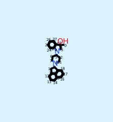 CC1(O)CN(C2CCN(C3Cc4cccc5cccc3c45)CC2)c2ccccc21